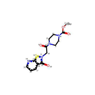 CC(C)(C)OC(=O)N1CCN(C(=O)Cn2sc3ncccc3c2=O)CC1